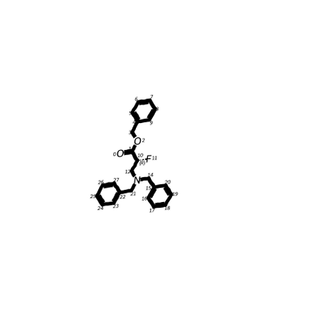 O=C(OCc1ccccc1)[C@H](F)CN(Cc1ccccc1)Cc1ccccc1